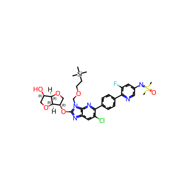 C[Si](C)(C)CCOCn1c(O[C@@H]2CO[C@H]3[C@@H]2OC[C@H]3O)nc2cc(Cl)c(-c3ccc(-c4ncc(N=S(C)(C)=O)cc4F)cc3)nc21